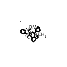 COCc1nc2ccccc2c(=O)n1N1C=C(c2ccccc2)n2c(C)cc3c2C(=CCC3)C1=O